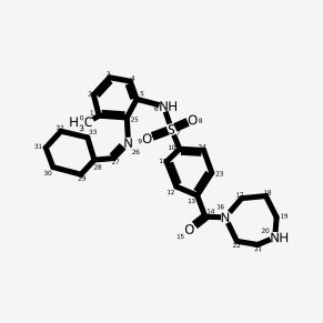 Cc1cccc(NS(=O)(=O)c2ccc(C(=O)N3CCCNCC3)cc2)c1/N=C\C1CCCCC1